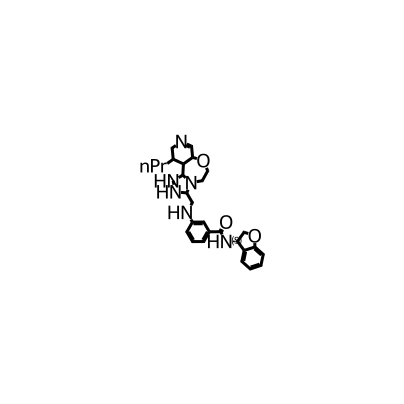 CCCC1CN=CC2OCCN3C(CNc4cccc(C(=O)N[C@@H]5COc6ccccc65)c4)NNC3C12